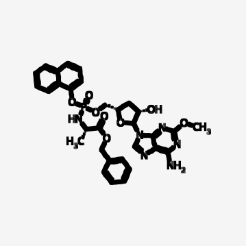 COc1nc(N)c2ncn(C3O[C@H](COP(=O)(N[C@@H](C)C(=O)OCc4ccccc4)Oc4cccc5ccccc45)C[C@@H]3O)c2n1